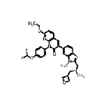 CCOc1ccc2cc(-c3ccc4nc(CN(C)CC5COC5)n(C)c4c3)c(=O)n(-c3ccc(OC(F)F)cc3)c2n1